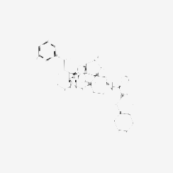 CCN(C[C@]1(O)CCN(C(=O)[C@H](C)CC2CCCCC2)CC12CCCC2)C(=O)CCc1ccccc1